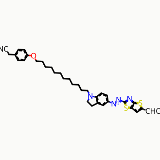 N#CCc1ccc(OCCCCCCCCCCCCN2CCc3cc(/N=N/c4nc5sc(C=O)cc5s4)ccc32)cc1